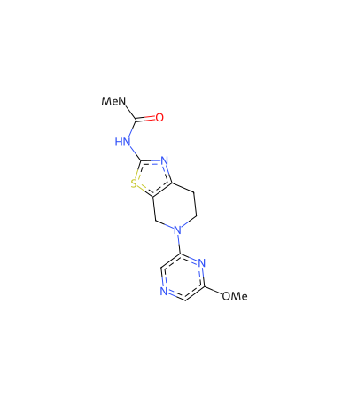 CNC(=O)Nc1nc2c(s1)CN(c1cncc(OC)n1)CC2